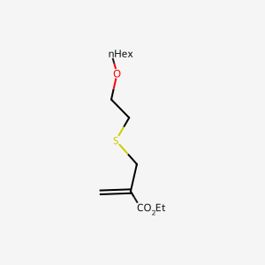 C=C(CSCCOCCCCCC)C(=O)OCC